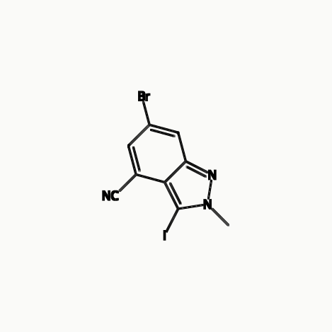 Cn1nc2cc(Br)cc(C#N)c2c1I